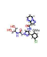 COc1ccc(Cl)cc1-c1nn(CC(=O)NC(CO)CO)cc1NC(=O)c1cnn2cccnc12